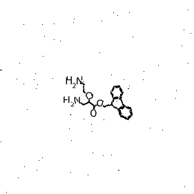 NCCOC(CN)C(=O)OCC1c2ccccc2-c2ccccc21